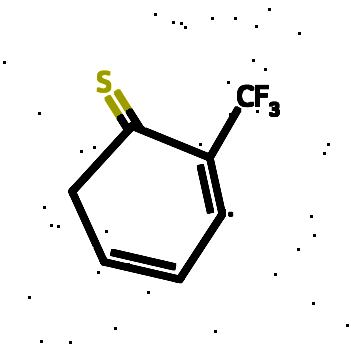 FC(F)(F)C1=[C]C=CCC1=S